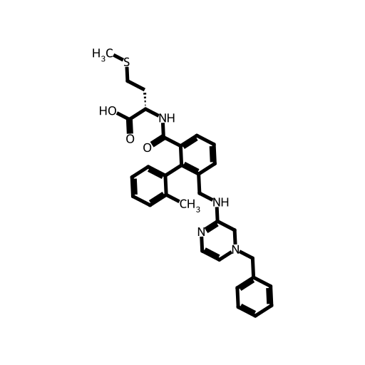 CSCC[C@H](NC(=O)c1cccc(CNC2=NC=CN(Cc3ccccc3)C2)c1-c1ccccc1C)C(=O)O